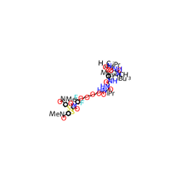 CCC(C)C(C(CC)OC)N(C)C(=O)CNC(=O)C(C(C)C)N(C)C(=O)OCc1ccc(NC(=O)CNC(=O)C(NC(=O)COCCOCCOCCOc2c(F)cc(N3C(=O)C(Sc4ccc(C(=O)NC)cc4)=C(Sc4ccc(C(=O)NC)cc4)C3=O)cc2F)C(C)C)cc1